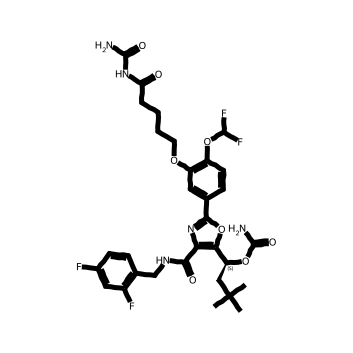 CC(C)(C)C[C@H](OC(N)=O)c1oc(-c2ccc(OC(F)F)c(OCCCCC(=O)NC(N)=O)c2)nc1C(=O)NCc1ccc(F)cc1F